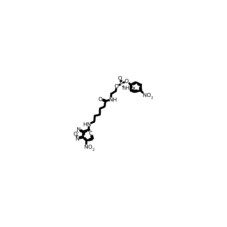 CCCCCCP(=O)(OCCNC(=O)CCCCCNc1ccc([N+](=O)[O-])c2nonc12)Oc1ccc([N+](=O)[O-])cc1